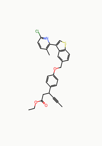 CC#CC(CC(=O)OCC)c1ccc(OCc2ccc3scc(-c4nc(Cl)ccc4C)c3c2)cc1